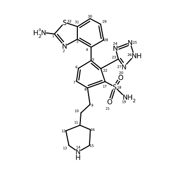 Nc1nc2c(-c3ccc(CCC4CCNCC4)c(S(N)(=O)=O)c3-c3nn[nH]n3)cccc2s1